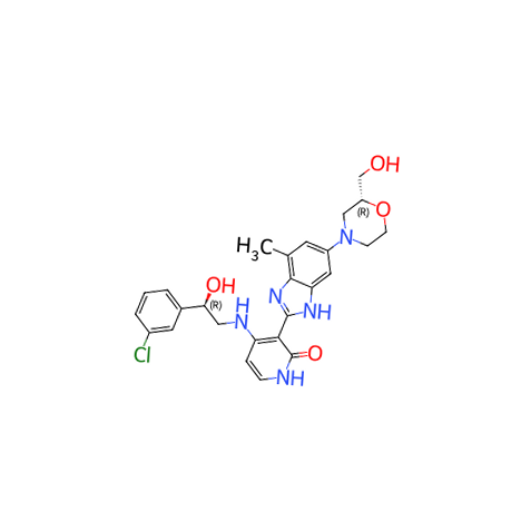 Cc1cc(N2CCO[C@@H](CO)C2)cc2[nH]c(-c3c(NC[C@H](O)c4cccc(Cl)c4)cc[nH]c3=O)nc12